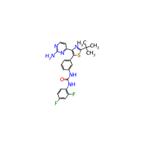 CC(C)(C)c1nc(-c2ccnc(N)n2)c(-c2cccc(NC(=O)Nc3ccc(F)cc3F)c2)s1